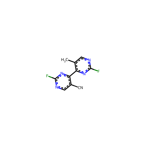 Cc1[c]nc(F)nc1-c1nc(F)ncc1C#N